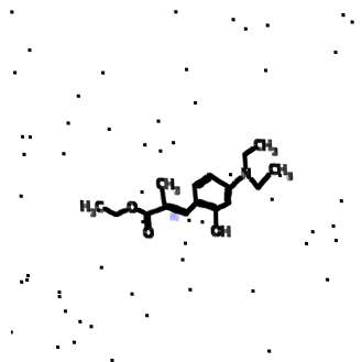 CCOC(=O)/C(C)=C/c1ccc(N(CC)CC)cc1O